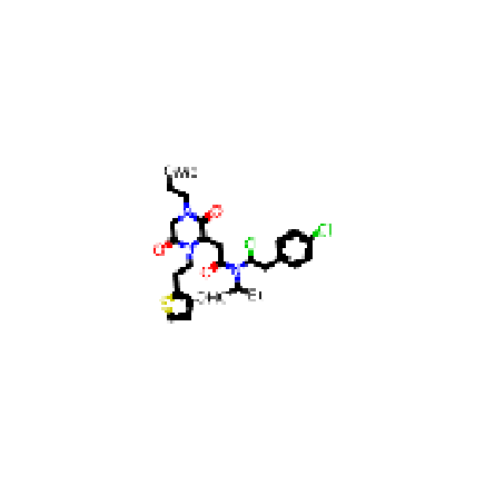 CCC(C=O)N(C(=O)CC1C(=O)N(CCOC)CC(=O)N1CCc1cccs1)C(Cl)Cc1ccc(Cl)cc1